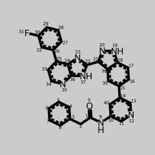 O=C(Cc1ccccc1)Nc1cncc(-c2ccc3[nH]nc(-c4nc5c(-c6cccc(F)c6)ccnc5[nH]4)c3c2)c1